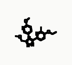 CCOc1ccc(-c2nnc(COC)n2-c2ccc(OC)nc2)nc1C